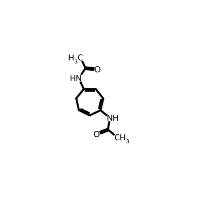 CC(=O)NC1=CC=C(NC(C)=O)CC=C1